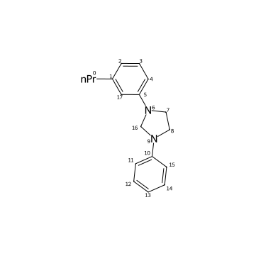 CCCc1cccc(N2CCN(c3ccccc3)C2)c1